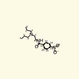 CCCN(CCC)CCNC(=O)c1ccc([N+](=O)[O-])cc1